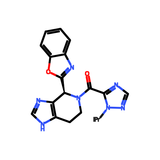 CC(C)n1ncnc1C(=O)N1CCc2[nH]cnc2[C@H]1c1nc2ccccc2o1